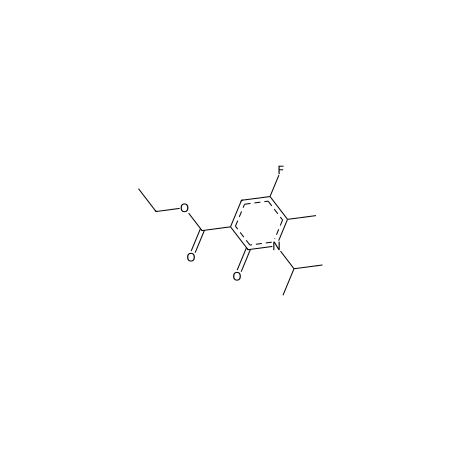 CCOC(=O)c1cc(F)c(C)n(C(C)C)c1=O